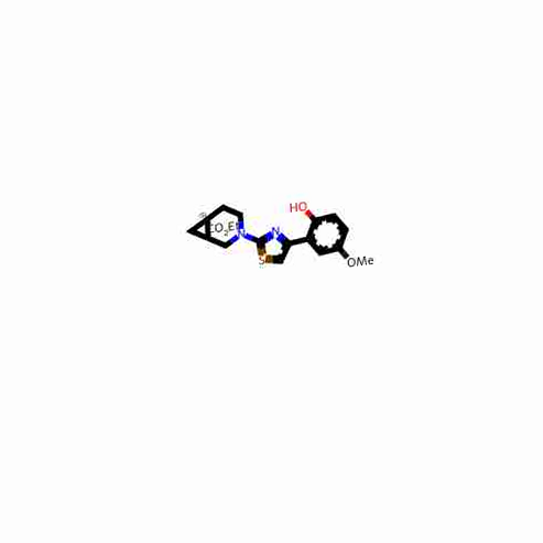 CCOC(=O)[C@@]12CCN(c3nc(-c4cc(OC)ccc4O)cs3)CC1C2